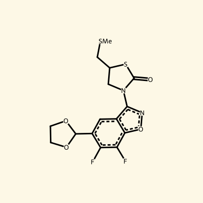 CSCC1CN(c2noc3c(F)c(F)c(C4OCCO4)cc23)C(=O)S1